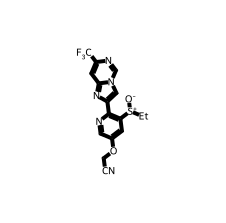 CC[S+]([O-])c1cc(OCC#N)cnc1-c1cn2cnc(C(F)(F)F)cc2n1